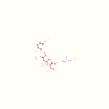 CCN(CC)CCOCC1OC(C)C(O)C(O)C1OC1OC(COC2OC(CO)C(O)C(O)C2O)C(COC)C(O)C1O